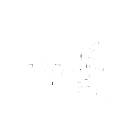 CNC(=O)c1ccc(C(C)Cc2nc(N[C@@H](CO)CC(C)C)nc(S(C)(=O)=O)n2)cc1F